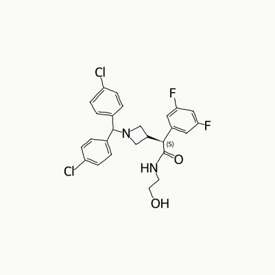 O=C(NCCO)[C@H](c1cc(F)cc(F)c1)C1CN(C(c2ccc(Cl)cc2)c2ccc(Cl)cc2)C1